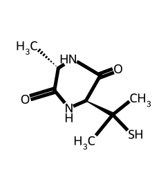 C[C@@H]1NC(=O)[C@@H](C(C)(C)S)NC1=O